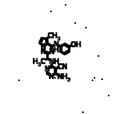 Cc1ccn2nc([C@H](C)Nc3ncnc(N)c3C#N)nc(Nc3cccc(O)c3)c12